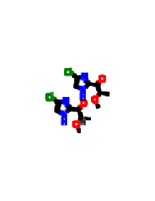 COC(C)C(=O)c1nc(Cl)c[nH]1.CO[C@@H](C)C(=O)c1nc(Cl)c[nH]1